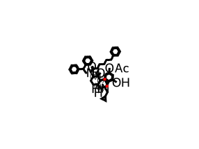 CC(=O)Oc1cc(O)c2c3c1O[C@H]1[C@@H](N(CC(c4ccccc4)c4ccccc4)C(=O)CCCCCc4ccccc4)CC[C@H]4[C@@H](C2)N(CC2CC2)CC[C@@]341